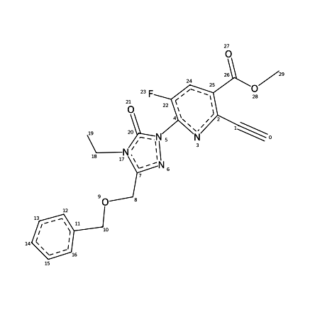 C#Cc1nc(-n2nc(COCc3ccccc3)n(CC)c2=O)c(F)cc1C(=O)OC